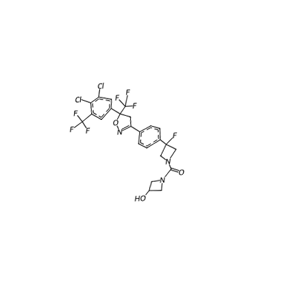 O=C(N1CC(O)C1)N1CC(F)(c2ccc(C3=NOC(c4cc(Cl)c(Cl)c(C(F)(F)F)c4)(C(F)(F)F)C3)cc2)C1